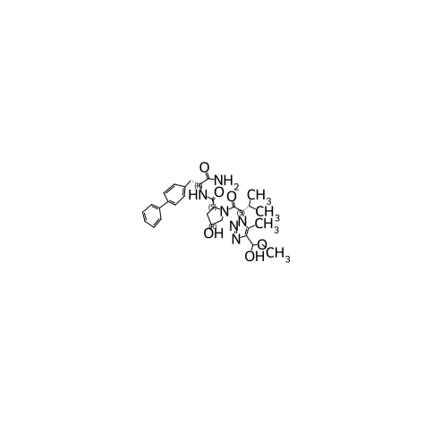 COC(O)c1nnn([C@H](C(=O)N2C[C@H](O)C[C@H]2C(=O)N[C@H](Cc2ccc(-c3ccccc3)cc2)C(N)=O)C(C)C)c1C